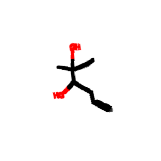 [CH]=CCC(O)C(C)(C)O